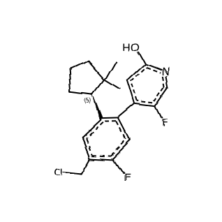 CC1(C)CCC[C@@H]1c1cc(CCl)c(F)cc1-c1cc(O)ncc1F